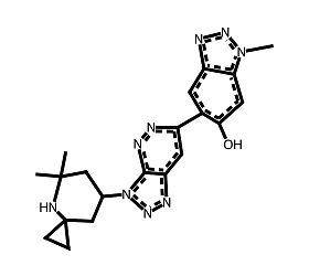 Cn1nnc2cc(-c3cc4nnn(C5CC(C)(C)NC6(CC6)C5)c4nn3)c(O)cc21